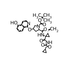 C=C[C@@H]1C[C@]1(NC(=O)C1CC(Oc2nccc3c(O)cccc23)CN1C(=O)OC(C)(C)C)C(=O)NS(=O)(=O)C1CC1